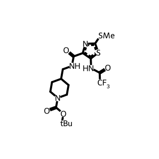 CSc1nc(C(=O)NCC2CCN(C(=O)OC(C)(C)C)CC2)c(NC(=O)C(F)(F)F)s1